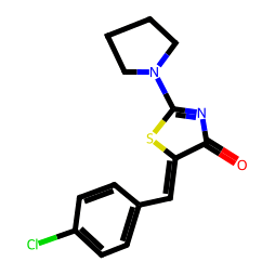 O=C1N=C(N2CCCC2)S/C1=C\c1ccc(Cl)cc1